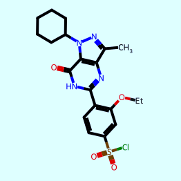 CCOc1cc(S(=O)(=O)Cl)ccc1-c1nc2c(C)nn(C3CCCCC3)c2c(=O)[nH]1